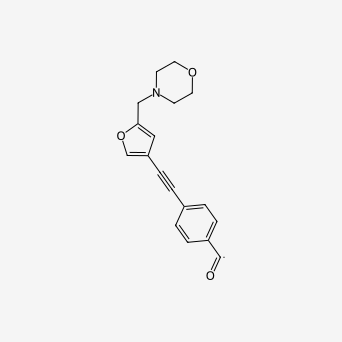 O=[C]c1ccc(C#Cc2coc(CN3CCOCC3)c2)cc1